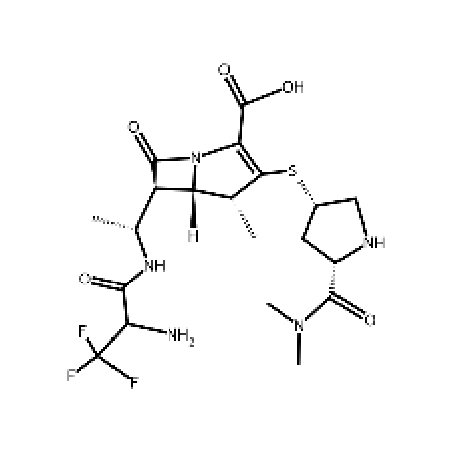 C[C@@H](NC(=O)C(N)C(F)(F)F)[C@H]1C(=O)N2C(C(=O)O)=C(S[C@@H]3CN[C@H](C(=O)N(C)C)C3)[C@H](C)[C@H]12